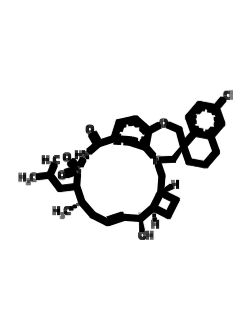 CC(C)CC1[C@@H](C)C/C=C/[C@H](O)[C@@H]2CC[C@H]2CN2C[C@@]3(CCCc4cc(Cl)ccc43)COc3ccc(cc32)C(=O)NS1(=O)=O